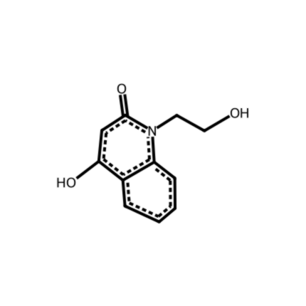 O=c1cc(O)c2ccccc2n1CCO